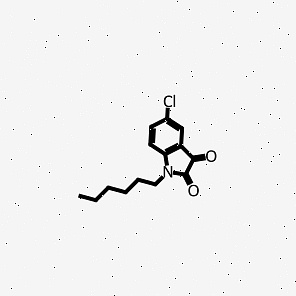 CCCCCCN1C(=O)C(=O)c2cc(Cl)ccc21